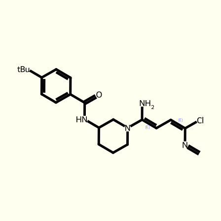 C=N/C(Cl)=C\C=C(/N)N1CCCC(NC(=O)c2ccc(C(C)(C)C)cc2)C1